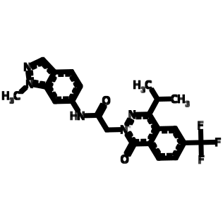 CC(C)c1nn(CC(=O)Nc2ccc3cnn(C)c3c2)c(=O)c2ccc(C(F)(F)F)cc12